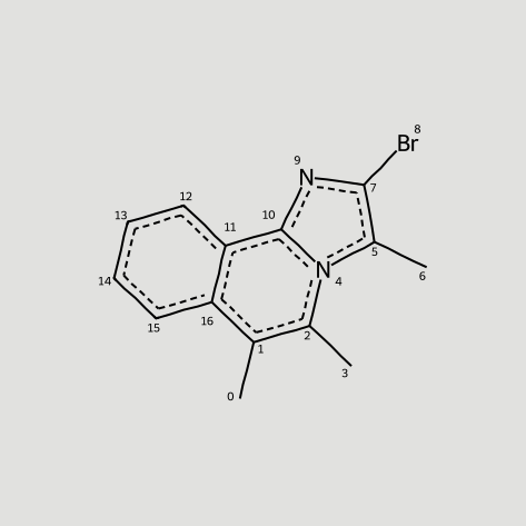 Cc1c(C)n2c(C)c(Br)nc2c2ccccc12